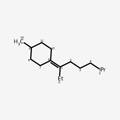 CCC(CCCC(C)C)=C1CCC(C)CC1